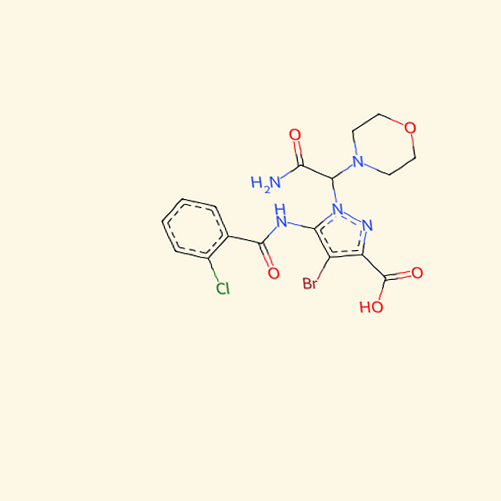 NC(=O)C(N1CCOCC1)n1nc(C(=O)O)c(Br)c1NC(=O)c1ccccc1Cl